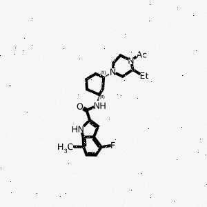 CCC1CN([C@H]2CCC[C@@H](NC(=O)c3cc4c(F)ccc(C)c4[nH]3)C2)CCN1C(C)=O